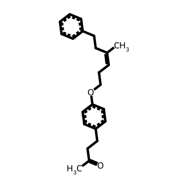 CC(=O)CCc1ccc(OCCC=C(C)CCc2ccccc2)cc1